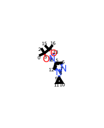 CC1(C)ON(c2cnn(C3CC3)c2)OC1(C)C